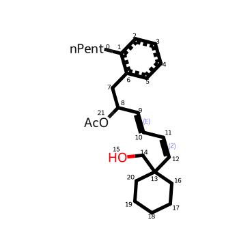 CCCCCc1ccccc1CC(/C=C/C=C\C1(CO)CCCCC1)OC(C)=O